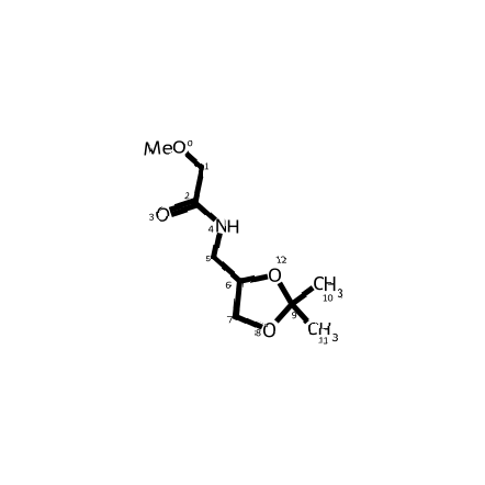 COCC(=O)NCC1COC(C)(C)O1